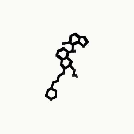 COc1cc2c(Nc3c(Cl)ccc4ccoc34)ncnc2cc1OCCCN1CCOCC1